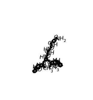 COc1cc2c(cc1OCc1cc(COc3cc4c(cc3OC)C(=O)N3c5ccccc5C[C@H]3C=N4)cc(NC(=O)CNC(=O)CNC(=O)CNC(=O)[C@H]3CC[C@H](C(N)=O)CC3)c1)N=C[C@@H]1Cc3ccccc3N1C2=O